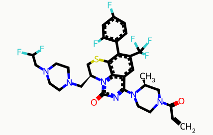 C=CC(=O)N1CCN(c2nc(=O)n3c4c(c(-c5ccc(F)cc5F)c(C(F)(F)F)cc24)SC[C@@H]3CN2CCN(CC(F)F)CC2)[C@@H](C)C1